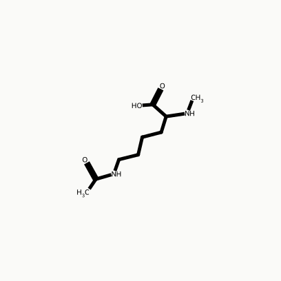 CNC(CCCCNC(C)=O)C(=O)O